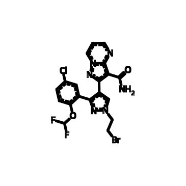 NC(=O)c1c(-c2cn(CCBr)nc2-c2cc(Cl)ccc2OC(F)F)nn2cccnc12